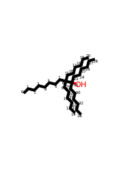 CCCCCCCCC(CCCCCC)(CCCCCC)C(O)(CCCCCC)CCCCCC